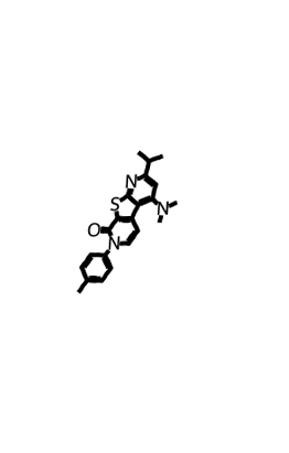 Cc1ccc(-n2ccc3c(sc4nc(C(C)C)cc(N(C)C)c43)c2=O)cc1